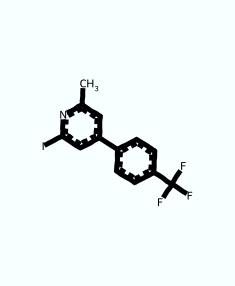 Cc1cc(-c2ccc(C(F)(F)F)cc2)cc(I)n1